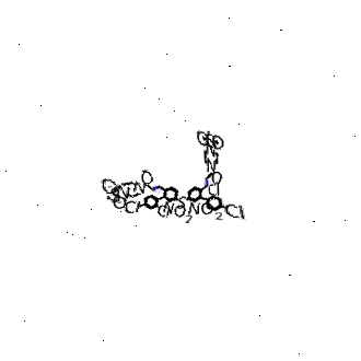 CS(=O)(=O)N1CCN(C(=O)/C=C/c2ccc(Sc3ccc(/C=C/C(=O)N4CCN(S(C)(=O)=O)CC4)c(-c4ccc(Cl)cc4Cl)c3[N+](=O)[O-])c([N+](=O)[O-])c2-c2ccc(Cl)cc2Cl)CC1